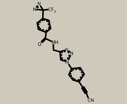 N#CC#Cc1ccc(-n2cc(CNC(=O)c3ccc(C4(C(F)(F)F)N=N4)cc3)nn2)cc1